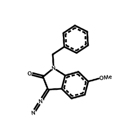 COc1ccc2c(c1)N(Cc1ccccc1)C(=O)C2=[N+]=[N-]